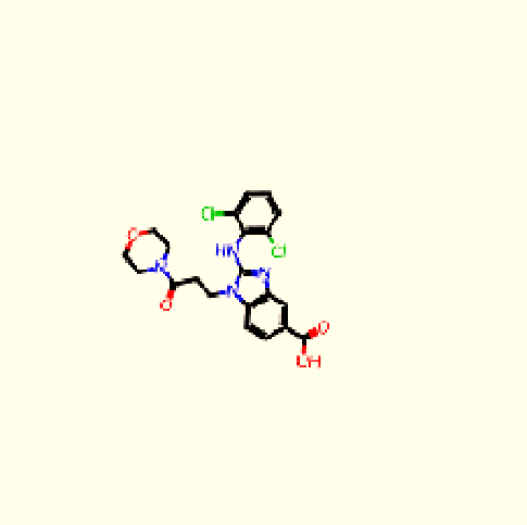 O=C(O)c1ccc2c(c1)nc(Nc1c(Cl)cccc1Cl)n2CCC(=O)N1CCOCC1